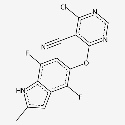 Cc1cc2c(F)c(Oc3ncnc(Cl)c3C#N)cc(F)c2[nH]1